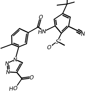 Cc1ccc(C(=O)Nc2cc(C(C)(C)C)cc(C#N)c2[S+](C)[O-])cc1-n1cc(C(=O)O)nn1